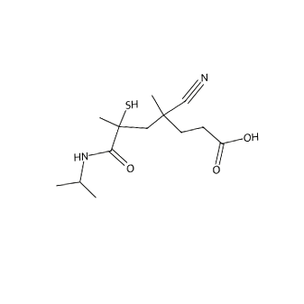 CC(C)NC(=O)C(C)(S)CC(C)(C#N)CCC(=O)O